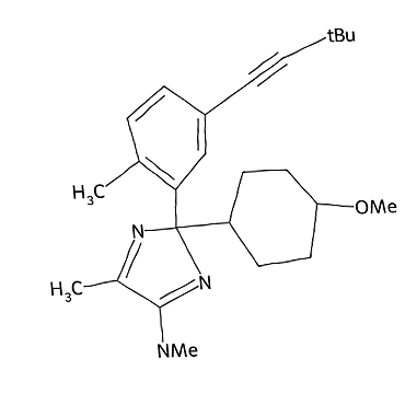 CNC1=NC(c2cc(C#CC(C)(C)C)ccc2C)(C2CCC(OC)CC2)N=C1C